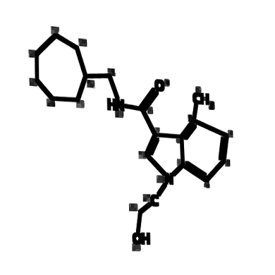 Cc1cccc2c1c(C(=O)NCC1CCCCCC1)cn2CCO